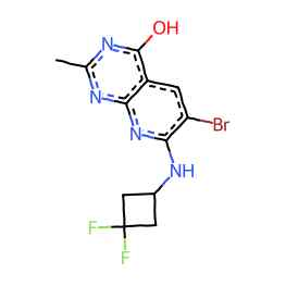 Cc1nc(O)c2cc(Br)c(NC3CC(F)(F)C3)nc2n1